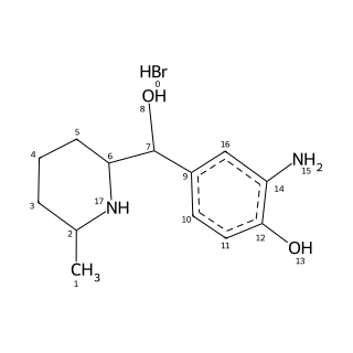 Br.CC1CCCC(C(O)c2ccc(O)c(N)c2)N1